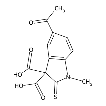 CC(=O)c1ccc2c(c1)C(C(=O)O)(C(=O)O)C(=S)N2C